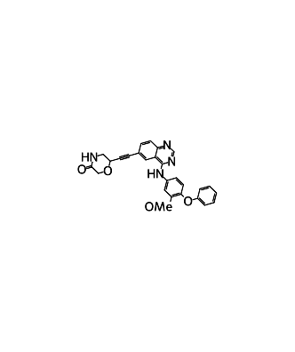 COc1cc(Nc2ncnc3ccc(C#CC4CNC(=O)CO4)cc23)ccc1Oc1ccccc1